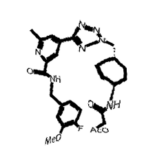 COc1cc(CNC(=O)c2cc(-c3nnn(C[C@H]4CC[C@H](NC(=O)COC(C)=O)CC4)n3)cc(C)n2)ccc1F